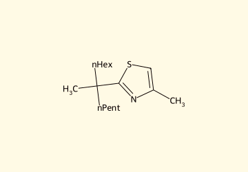 CCCCCCC(C)(CCCCC)c1nc(C)cs1